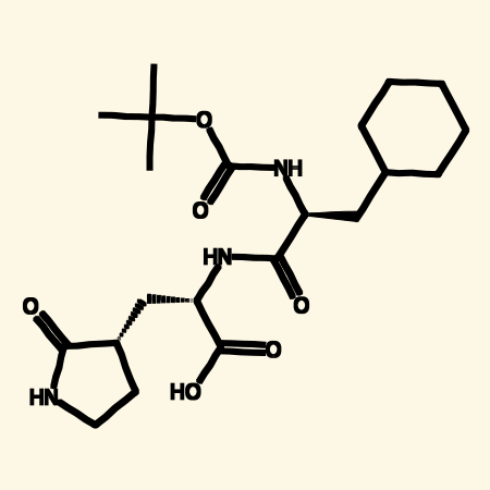 CC(C)(C)OC(=O)N[C@@H](CC1CCCCC1)C(=O)N[C@@H](C[C@@H]1CCNC1=O)C(=O)O